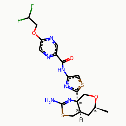 C[C@H]1C[C@H]2CSC(N)=N[C@@]2(c2nc(NC(=O)c3cnc(OCC(F)F)cn3)cs2)CO1